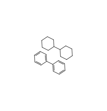 C1CCC(C2CCCCC2)CC1.c1ccc(-c2ccccc2)cc1